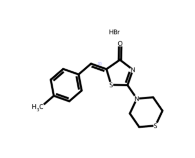 Br.Cc1ccc(/C=C2\SC(N3CCSCC3)=NC2=O)cc1